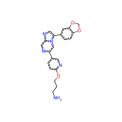 NCCCOc1ccc(-c2cn3c(-c4ccc5c(c4)OCO5)cnc3cn2)cn1